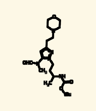 CC(CCn1nc(CCN2CCOCC2)cc1N(C)C=O)NC(=O)OC(C)(C)C